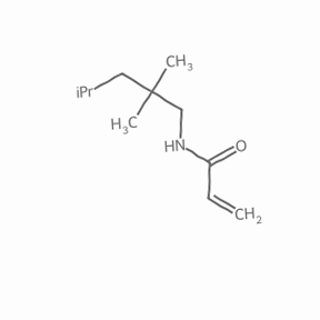 C=CC(=O)NCC(C)(C)CC(C)C